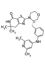 Cc1cc(Nc2cccc(C[C@H]3COCCN3c3nc4c(s3)C(=O)NC(C)(C)C4)c2)cc(C)n1